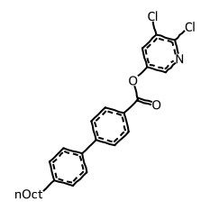 CCCCCCCCc1ccc(-c2ccc(C(=O)Oc3cnc(Cl)c(Cl)c3)cc2)cc1